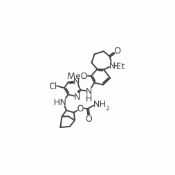 CCN1C(=O)CCCc2c1ccc(Nc1ncc(Cl)c(NC3C4CCC(C4)C3OC(N)=O)n1)c2OC